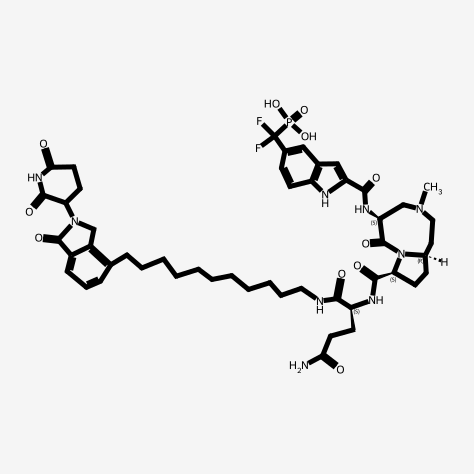 CN1CC[C@H]2CC[C@@H](C(=O)N[C@@H](CCC(N)=O)C(=O)NCCCCCCCCCCCc3cccc4c3CN(C3CCC(=O)NC3=O)C4=O)N2C(=O)[C@@H](NC(=O)c2cc3cc(C(F)(F)P(=O)(O)O)ccc3[nH]2)C1